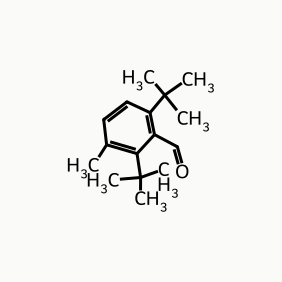 Cc1ccc(C(C)(C)C)c(C=O)c1C(C)(C)C